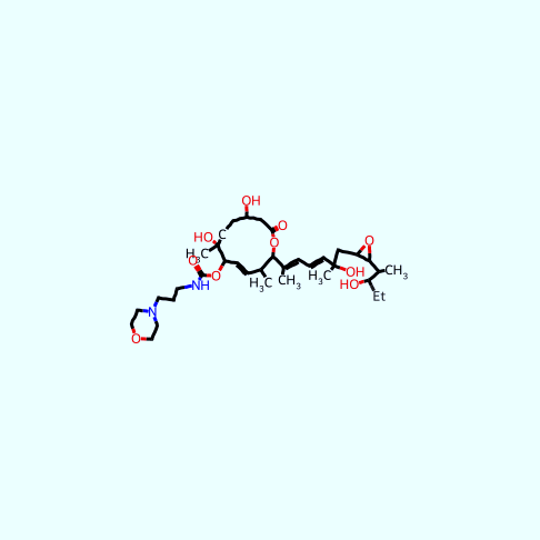 CCC(O)C(C)C1OC1CC(C)(O)/C=C/C=C(\C)C1OC(=O)CC(O)CCC(C)(O)C(OC(=O)NCCCN2CCOCC2)/C=C/C1C